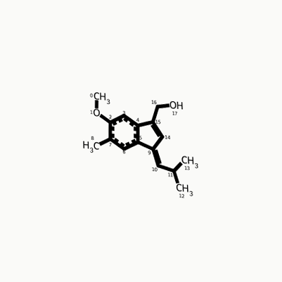 COc1cc2c(cc1C)C(=CC(C)C)C=C2CO